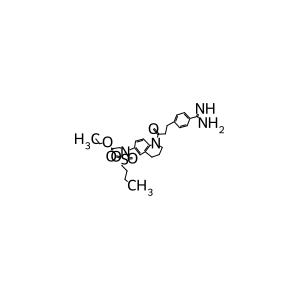 CCCCS(=O)(=O)N(CC(=O)OCC)c1ccc2c(c1)CCCN2C(=O)CCc1ccc(C(=N)N)cc1